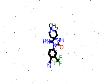 CN1CCC2(CC1)NC(=O)N(c1ccc(C#N)c(C(F)(F)F)c1)C2=N